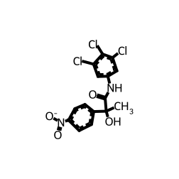 CC(O)(C(=O)Nc1cc(Cl)c(Cl)c(Cl)c1)c1ccc([N+](=O)[O-])cc1